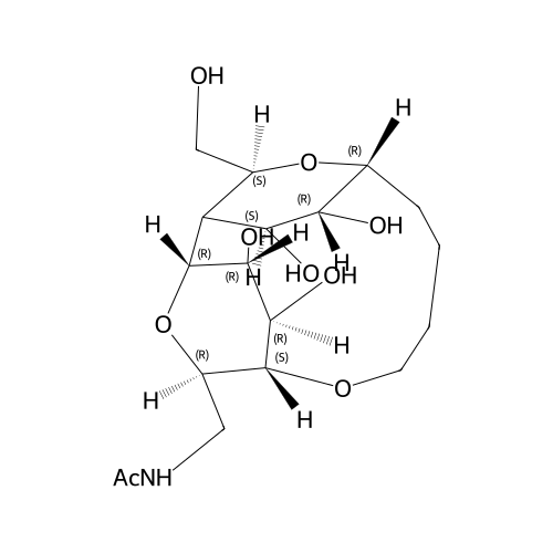 CC(=O)NC[C@H]1O[C@@H]2C3[C@@H](CO)O[C@H](CCCCO[C@H]1[C@H](O)[C@H]2O)[C@H](O)[C@H]3O